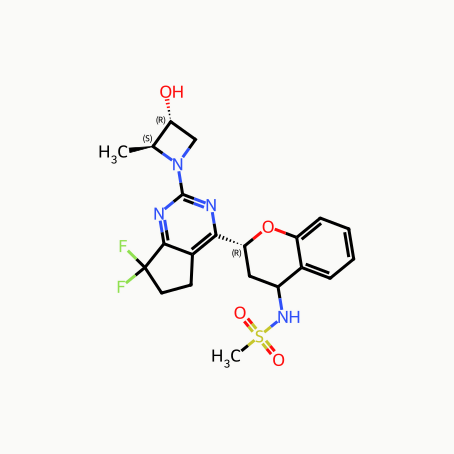 C[C@H]1[C@H](O)CN1c1nc([C@H]2CC(NS(C)(=O)=O)c3ccccc3O2)c2c(n1)C(F)(F)CC2